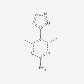 Cc1nc(N)nc(C)c1-c1ccno1